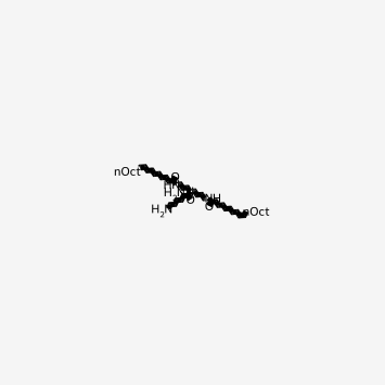 CCCCCCCC/C=C\CCCCCCCC(=O)NCCCCN(CCCNC(=O)CCCCCCC/C=C\CCCCCCCC)C(=O)[C@@H](N)CCCCN